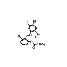 CCc1cc(C(F)F)c(OCc2c(F)cccc2OC(=O)OC)cc1F